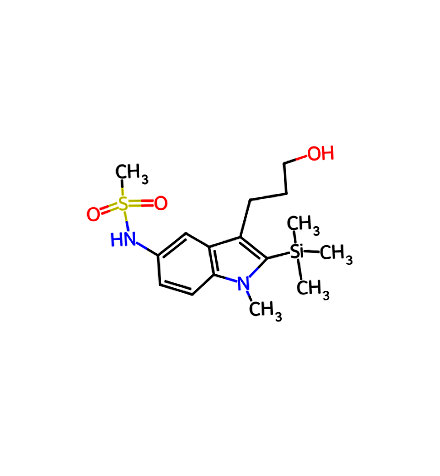 Cn1c([Si](C)(C)C)c(CCCO)c2cc(NS(C)(=O)=O)ccc21